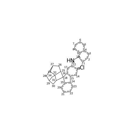 Clc1ccc2ccccc2c1Nc1ccc2c(c1)C1(c3ccccc3-2)C2CC3CC4CC1C2(C3)C4